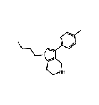 CCCCn1cc(-c2ccc(C)cc2)c2c1CCNC2